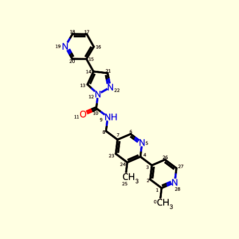 Cc1cc(-c2ncc(CNC(=O)n3cc(-c4cccnc4)cn3)cc2C)ccn1